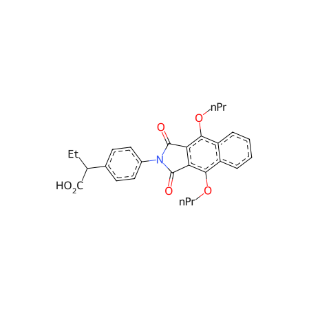 CCCOc1c2c(c(OCCC)c3ccccc13)C(=O)N(c1ccc(C(CC)C(=O)O)cc1)C2=O